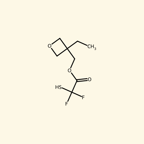 CCC1(COC(=O)C(F)(F)S)COC1